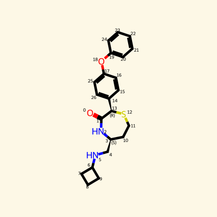 O=C1N[C@H](CNC2CCC2)CCS[C@@H]1c1ccc(Oc2ccccc2)cc1